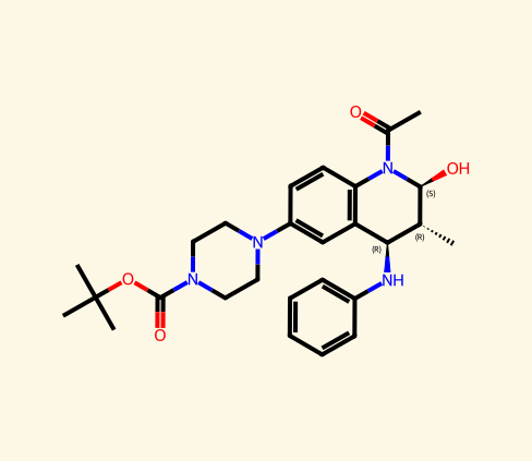 CC(=O)N1c2ccc(N3CCN(C(=O)OC(C)(C)C)CC3)cc2[C@H](Nc2ccccc2)[C@@H](C)[C@@H]1O